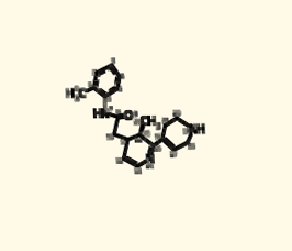 Cc1ccccc1NC(=O)CC1C=CN=C(C2=CCNCC2)[C@@H]1C